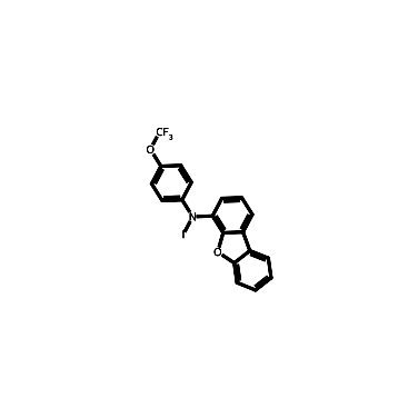 FC(F)(F)Oc1ccc(N(I)c2cccc3c2oc2ccccc23)cc1